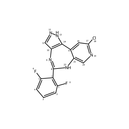 Fc1cccc(F)c1C1=Nc2cn[nH]c2-c2cc(Cl)ncc2N1